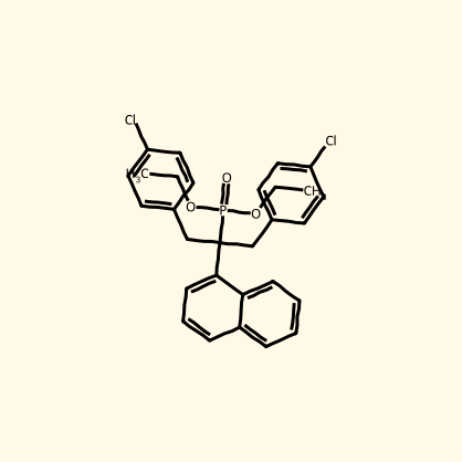 CCOP(=O)(OCC)C(Cc1ccc(Cl)cc1)(Cc1ccc(Cl)cc1)c1cccc2ccccc12